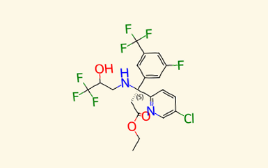 CCOC(=O)C[C@](NCC(O)C(F)(F)F)(c1cc(F)cc(C(F)(F)F)c1)c1ccc(Cl)cn1